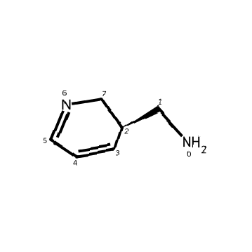 NC[C@H]1C=CC=NC1